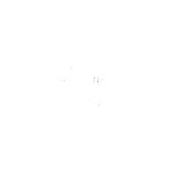 CCOC(=O)C1=C(c2ccccc2)NC(C)=C(C(=O)SCC)C1CC